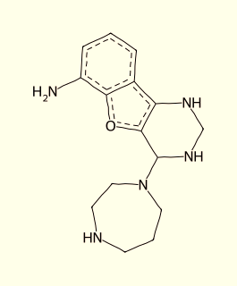 Nc1cccc2c3c(oc12)C(N1CCCNCC1)NCN3